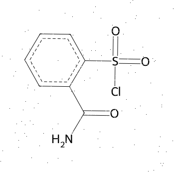 NC(=O)c1ccccc1S(=O)(=O)Cl